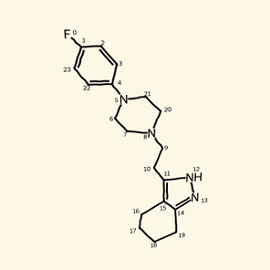 Fc1ccc(N2CCN(CCc3[nH]nc4c3CCCC4)CC2)cc1